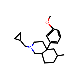 COc1cccc(C23CCN(CC4CC4)CC2CCC(C)C3)c1